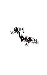 CC(C)(C)c1ccc(-c2nc(-c3ccc(CN4CCC(C(=O)O)(C(=O)O)CC4)cc3)no2)cc1